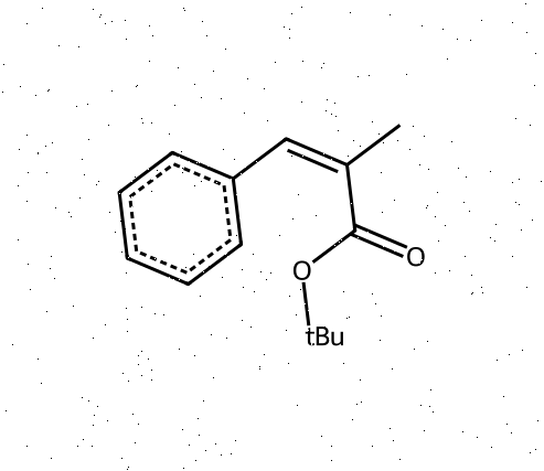 CC(=Cc1ccccc1)C(=O)OC(C)(C)C